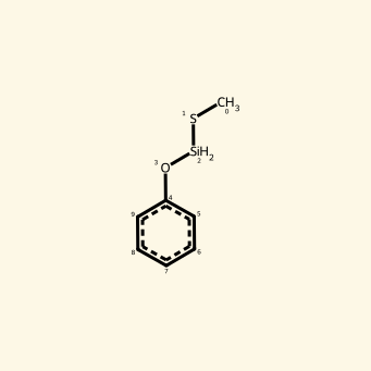 CS[SiH2]Oc1ccccc1